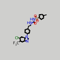 Cc1ccc(S(=O)(=O)NC(=O)NCCc2ccc(-n3cnc4cc(C(F)(F)F)c(Cl)cc43)cc2)cc1